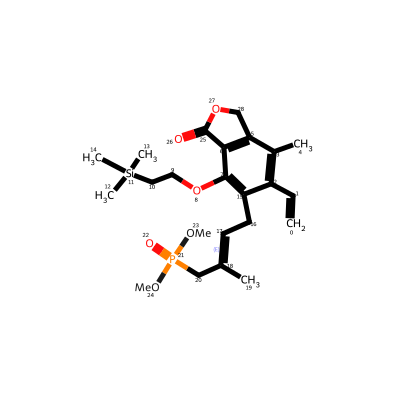 C=Cc1c(C)c2c(c(OCC[Si](C)(C)C)c1C/C=C(\C)CP(=O)(OC)OC)C(=O)OC2